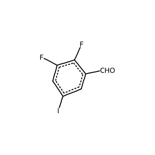 O=Cc1cc(I)cc(F)c1F